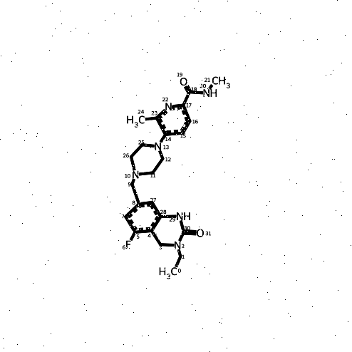 CCN1Cc2c(F)cc(CN3CCN(c4ccc(C(=O)NC)nc4C)CC3)cc2NC1=O